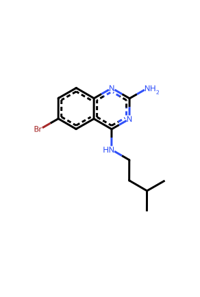 CC(C)CCNc1nc(N)nc2ccc(Br)cc12